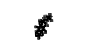 CC(=O)Oc1c(C)c(C)c2c(c1C)CCC(C)(CC[N+](C)(C)C)O2